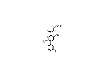 Bc1nc(C(=O)NCC(=O)O)c(O)cc1-c1cccc(F)c1